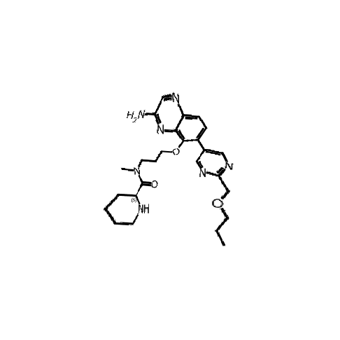 CCCOCc1ncc(-c2ccc3ncc(N)nc3c2OCCCN(C)C(=O)[C@@H]2CCCCN2)cn1